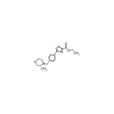 CCOC(=O)c1csc(-c2ccc(CN3CCOC[C@H]3C)cc2)n1